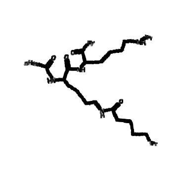 CCCCCCC(=O)NC(CCCCNC(=O)CCCCC(C)C)C(=O)NC(CCCCNC(C)C)C(=O)C(C)C